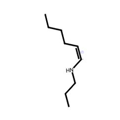 CCCC/C=[C]\NCCC